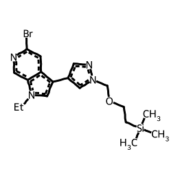 CCn1cc(-c2cnn(COCC[Si](C)(C)C)c2)c2cc(Br)ncc21